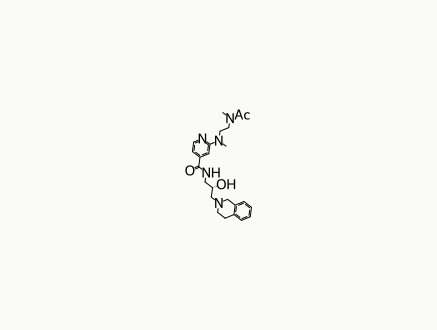 CC(=O)N(C)CCN(C)c1cc(C(=O)NC[C@H](O)CN2CCc3ccccc3C2)ccn1